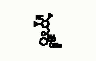 COC(=O)C1(NC(=O)Cc2cc(C3CC3)c(C#N)c(C3CC3)c2)CCCCC1